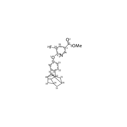 COC(=O)c1cnc(Oc2ccc(C34CC5CC(CC(C5)C3)C4)cc2)c(F)c1